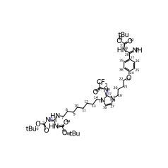 CC(C)(C)OC(=O)/N=C(/NCCCCCCCCn1ccn(CCCCOc2ccc(C(=N)NC(=O)OC(C)(C)C)cc2)/c1=N/C(=O)C(F)(F)F)NC(=O)OC(C)(C)C